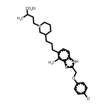 CCOC(=O)C(C)CCN1CCCC(CCCc2ccc3[nH]c(COc4ccc(Cl)cc4)nc3c2C)C1